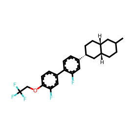 CC1CC[C@@H]2C[C@H](c3ccc(-c4ccc(OCC(F)(F)F)c(F)c4)c(F)c3)CC[C@@H]2C1